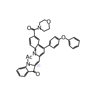 CC(=O)N1/C(=C\c2cc(-c3ccc(Oc4ccccc4)cc3)c3cc(C(=O)N4CCOCC4)ccc3n2)C(=O)c2ccccc21